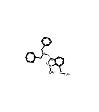 CCCOc1cccc2c1B(O)O[C@@H]2CN(Cc1ccccc1)Cc1ccccc1